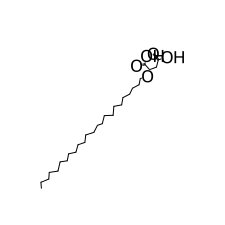 CCCCCCCCCCCCCCCCCCCCCCCCOC(CC(=O)O)C(=O)O